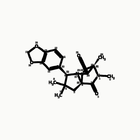 CN1C(=O)[C@]23CC(C)(C)[C@@H](c4ccc5c(c4)OCO5)N2C(=O)[C@@]1(C)SS3